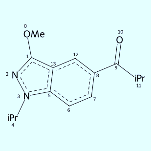 COc1nn(C(C)C)c2ccc(C(=O)C(C)C)cc12